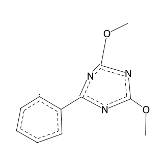 COc1nc(OC)nc(-c2[c]cccc2)n1